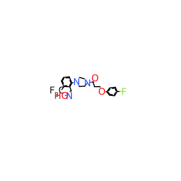 O=C(CCOc1ccc(F)cc1)N1CCN(c2cccc(C(F)(F)F)c2/C=N\O)CC1